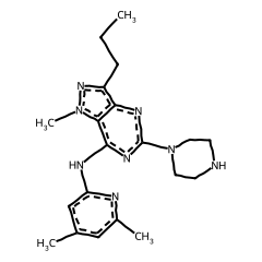 CCCc1nn(C)c2c(Nc3cc(C)cc(C)n3)nc(N3CCNCC3)nc12